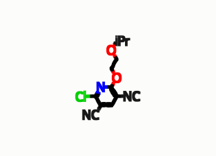 [C-]#[N+]c1cc(C#N)c(Cl)nc1OCCOC(C)C